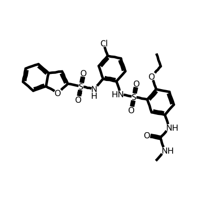 CCOc1ccc(NC(=O)NC)cc1S(=O)(=O)Nc1ccc(Cl)cc1NS(=O)(=O)c1cc2ccccc2o1